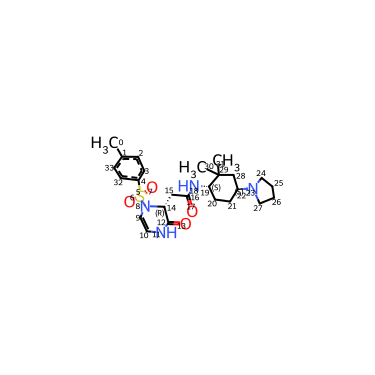 Cc1ccc(S(=O)(=O)N2C=CNC(=O)[C@H]2CC(=O)N[C@H]2CC[C@H](N3CCCC3)CC2(C)C)cc1